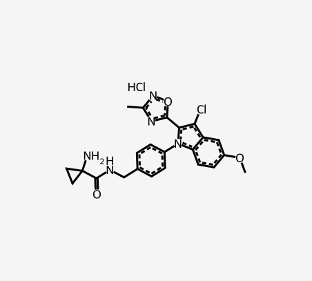 COc1ccc2c(c1)c(Cl)c(-c1nc(C)no1)n2-c1ccc(CNC(=O)C2(N)CC2)cc1.Cl